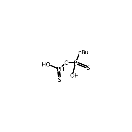 CCCCP(O)(=S)O[PH](O)=S